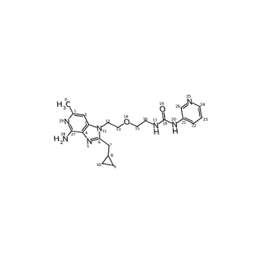 Cc1cc2c(nc(CC3CC3)n2CCOCCNC(=O)Nc2cccnc2)c(N)n1